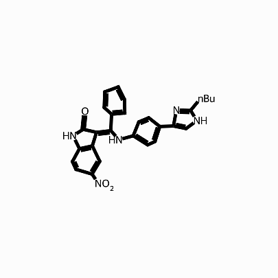 CCCCc1nc(-c2ccc(NC(=C3C(=O)Nc4ccc([N+](=O)[O-])cc43)c3ccccc3)cc2)c[nH]1